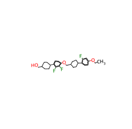 CCOc1ccc(C2CCC(COc3ccc(C4CCC(CO)CC4)c(F)c3F)CC2)c(F)c1